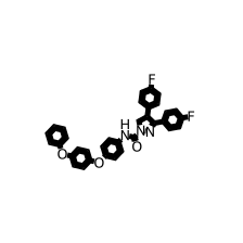 O=C(Nc1ccc(Oc2ccc(Oc3ccccc3)cc2)cc1)N1CC(c2ccc(F)cc2)C(c2ccc(F)cc2)=N1